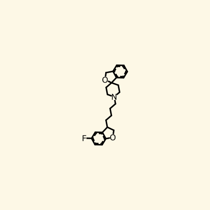 Fc1ccc2c(c1)C(CCCCN1CCC3(CC1)OCc1ccccc13)CO2